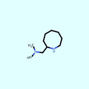 CCCN(C)CC1CCCCCCN1